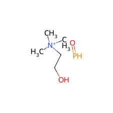 C[N+](C)(C)CCO.O=P